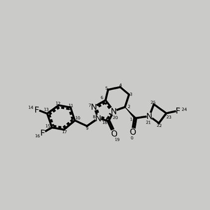 O=C([C@@H]1CCCc2nn(Cc3ccc(F)c(F)c3)c(=O)n21)N1CC(F)C1